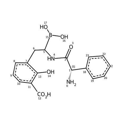 N[C@H](C(=O)NC(Cc1cccc(C(=O)O)c1O)B(O)O)c1ccccc1